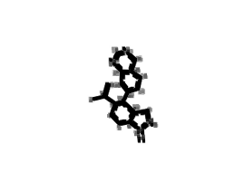 C=C(C)c1ccc2[nH]ncc2c1-c1ccc2cncnc2c1